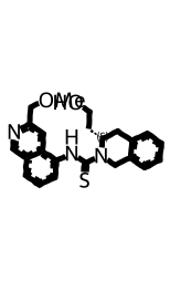 COCc1cc2c(NC(=S)N3Cc4ccccc4C[C@H]3CCO)cccc2cn1